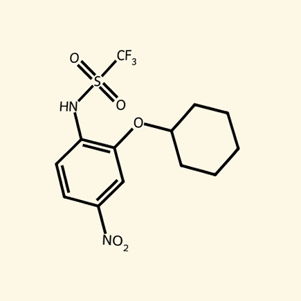 O=[N+]([O-])c1ccc(NS(=O)(=O)C(F)(F)F)c(OC2CCCCC2)c1